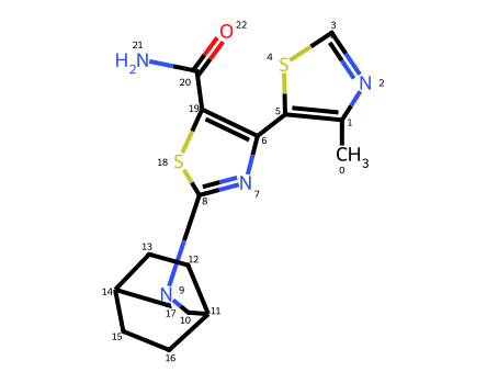 Cc1n[c]sc1-c1nc(N2CC3CCC(CC3)C2)sc1C(N)=O